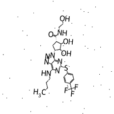 CCCCNc1nc(Sc2ccc(C(F)(F)F)cc2)nc2c1nnn2[C@@H]1C[C@H](C(=O)NCCO)[C@@H](O)[C@H]1O